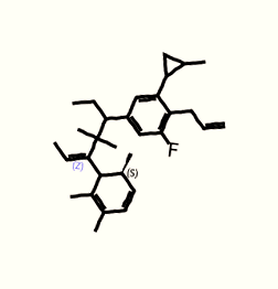 C=CCc1c(F)cc(C(CC)C(C)(C)/C(=C\C)C2C(C)=C(C)C=C[C@@H]2C)cc1C1CC1C